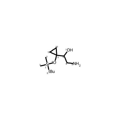 CC(C)(C)[Si](C)(C)OC1(C(O)CN)CC1